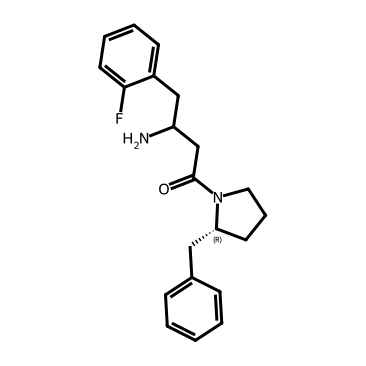 NC(CC(=O)N1CCC[C@@H]1Cc1ccccc1)Cc1ccccc1F